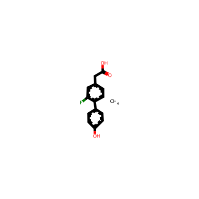 C.O=C(O)Cc1ccc(-c2ccc(O)cc2)c(F)c1